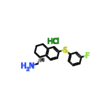 Cl.NC[C@@H]1CCCc2cc(Sc3cccc(F)c3)ccc21